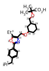 CCc1oc(-c2ccc(CC(C)C)cc2)nc1COC1CCCC(COC(C)(C)C(=O)O)C1